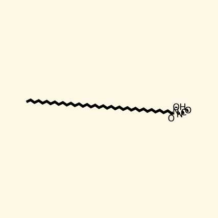 CCCCCCCCCCCCCCCCCCCCCCCCCCCCCCCCCCCCC(=O)N(O)N=C=O